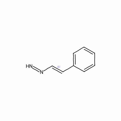 N=N/C=C/c1ccccc1